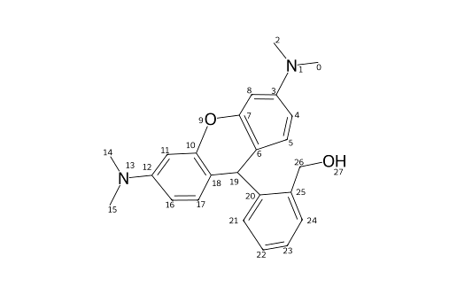 CN(C)c1ccc2c(c1)Oc1cc(N(C)C)ccc1C2c1ccccc1CO